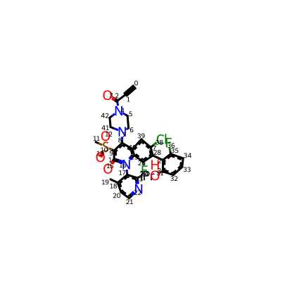 C#CC(=O)N1CCN(c2c(S(C)(=O)=O)c(=O)n(-c3c(C)ccnc3C(C)C)c3c(F)c(-c4c(O)cccc4F)c(Cl)cc23)CC1